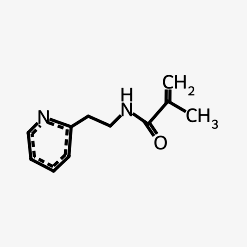 C=C(C)C(=O)NCCc1ccccn1